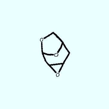 C1OC2OC1CC1OC12